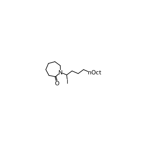 CCCCCCCCCCCC(I)N1CCCCCC1=O